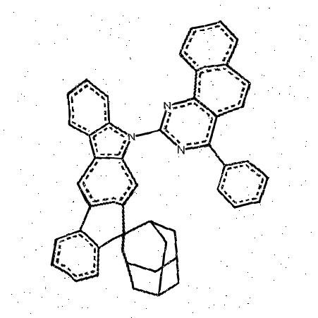 c1ccc(-c2nc(-n3c4ccccc4c4cc5c(cc43)C3(c4ccccc4-5)C4CC5CC(C4)CC3C5)nc3c2ccc2ccccc23)cc1